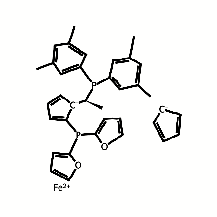 Cc1cc(C)cc(P(c2cc(C)cc(C)c2)[C@@H](C)[c-]2cccc2P(c2ccco2)c2ccco2)c1.[Fe+2].c1cc[cH-]c1